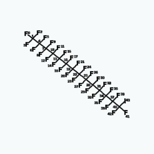 FC(F)(F)C(F)(F)C(F)(F)C(F)(F)C(F)(F)C(F)(F)C(F)(F)C(F)(F)C(F)(F)C(F)(F)C(F)(F)C(F)(F)C(F)(F)C(F)(F)I